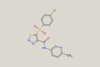 Cc1ccc(NC(=O)c2nnsc2S(=O)(=O)c2ccc(Cl)cc2)cn1